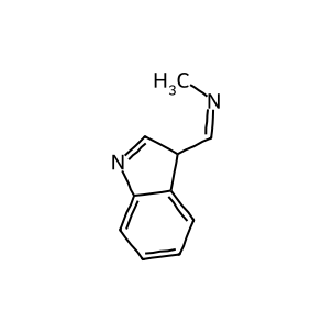 C/N=C\C1C=Nc2ccccc21